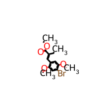 CCOC(=O)/C(=C/c1cc(OC)c(Br)cc1OC)CC